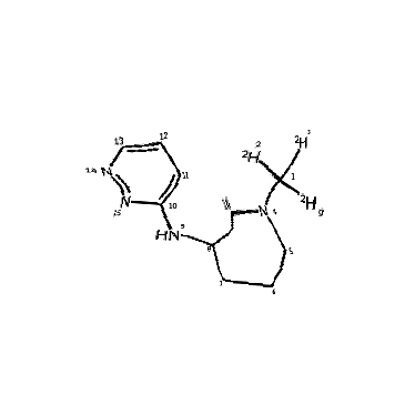 [2H]C([2H])([2H])N1CCCC(Nc2cccnn2)C1